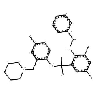 Cc1ccc(PC(C)(C)c2cc(C)cc(C)c2OCc2ccccc2)c(CN2CCCCC2)c1